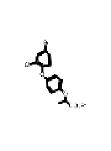 CCOC(=O)C(C)Oc1ccc(Oc2ccc(Br)cc2Cl)cc1